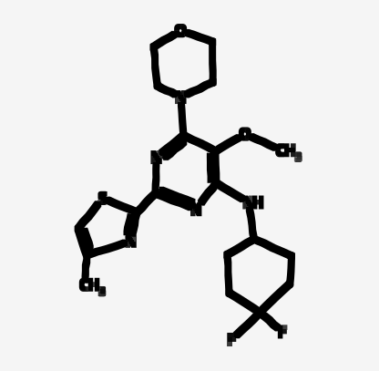 COc1c(NC2CCC(F)(F)CC2)nc(-c2nc(C)cs2)nc1N1CCOCC1